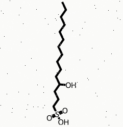 CCCCCCCCCCCC(O)CCCS(=O)(=O)O